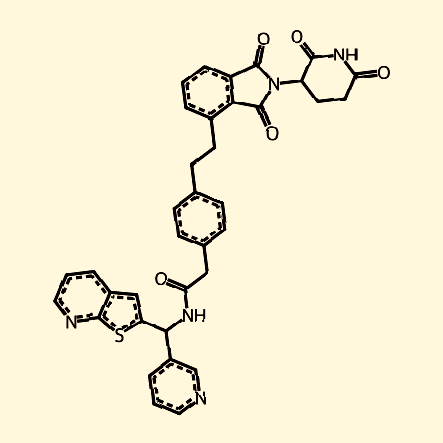 O=C1CCC(N2C(=O)c3cccc(CCc4ccc(CC(=O)NC(c5cccnc5)c5cc6cccnc6s5)cc4)c3C2=O)C(=O)N1